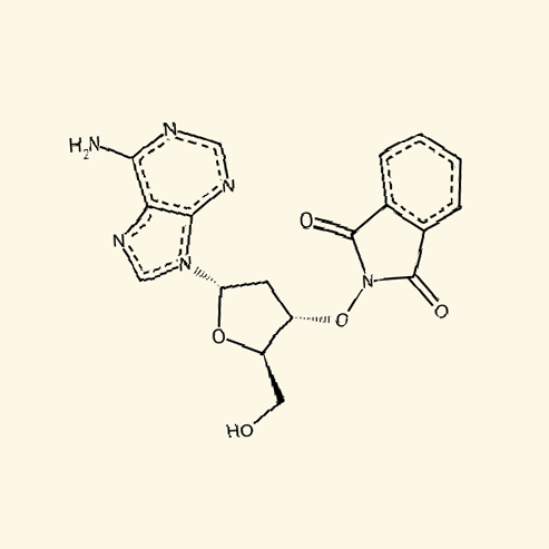 Nc1ncnc2c1ncn2[C@@H]1C[C@H](ON2C(=O)c3ccccc3C2=O)[C@@H](CO)O1